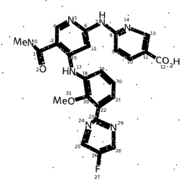 CNC(=O)c1cnc(Nc2ccc(C(=O)O)cn2)cc1Nc1cccc(-c2ncc(F)cn2)c1OC